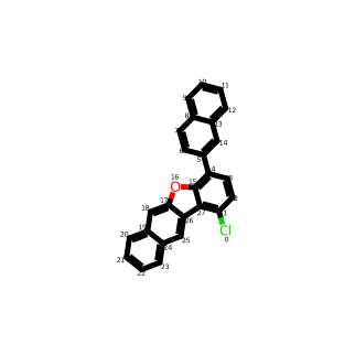 Clc1ccc(-c2ccc3ccccc3c2)c2oc3cc4ccccc4cc3c12